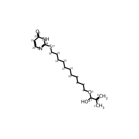 C=C(C)C(O)OCCCCCCCCCCCSc1nccc(=O)[nH]1